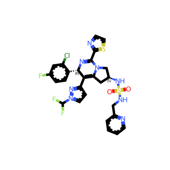 O=S(=O)(NCc1ccccn1)N[C@H]1CC2=C(c3ccn(C(F)F)n3)[C@H](c3ccc(F)cc3Cl)N=C(c3nccs3)N2C1